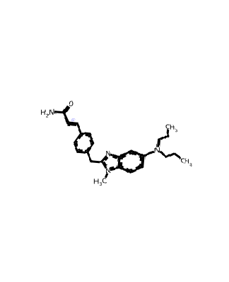 CCCN(CCC)c1ccc2c(c1)nc(Cc1ccc(/C=C/C(N)=O)cc1)n2C